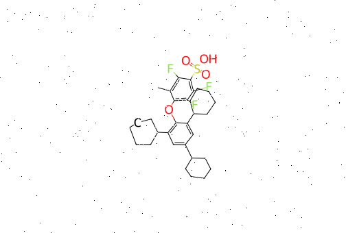 Cc1c(F)c(S(=O)(=O)O)c(F)c(F)c1Oc1c(C2CCCCC2)cc(C2CCCCC2)cc1C1CCCCC1